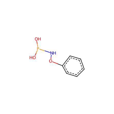 OP(O)NOc1ccccc1